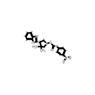 CC1(C)CN(OC(=O)Oc2ccc([N+](=O)[O-])cc2)C[C@H]1c1nc2ccccc2s1